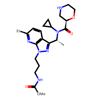 CCc1ccc2c([C@@H](C)N(C(=O)[C@H]3CNCCO3)C3CC3)nn(CCCNC(=O)OC)c2n1